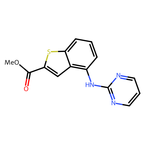 COC(=O)c1cc2c(Nc3ncccn3)cccc2s1